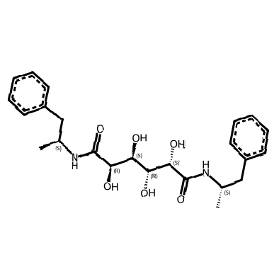 C[C@@H](Cc1ccccc1)NC(=O)[C@@H](O)[C@H](O)[C@H](O)[C@@H](O)C(=O)N[C@@H](C)Cc1ccccc1